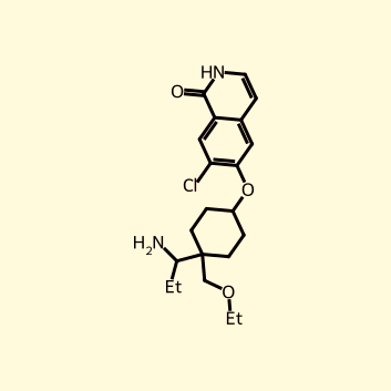 CCOCC1(C(N)CC)CCC(Oc2cc3cc[nH]c(=O)c3cc2Cl)CC1